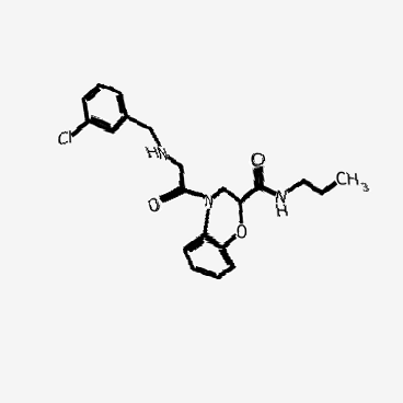 CCCNC(=O)C1CN(C(=O)CNCc2cccc(Cl)c2)c2ccccc2O1